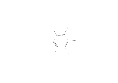 CCCCCc1c(O)c(O)c(I)c(I)c1I